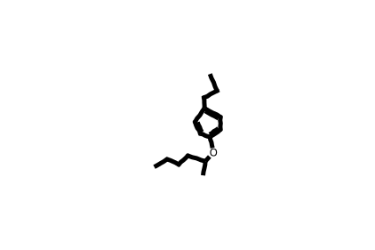 CCCCC(C)Oc1ccc(CCC)cc1